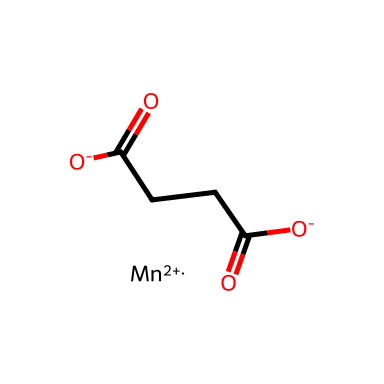 O=C([O-])CCC(=O)[O-].[Mn+2]